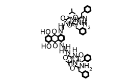 CC(C)C[C@H](NC(=O)[C@H](Cc1ccccc1)NC(=O)[C@@H](N)Cc1ccccc1)C(=O)NCCNc1ccc(NCCNC(=O)[C@H](CC(C)C)NC(=O)[C@H](Cc2ccccc2)NC(=O)[C@@H](N)Cc2ccccc2)c2c1C(=O)c1c(O)ccc(O)c1C2=O